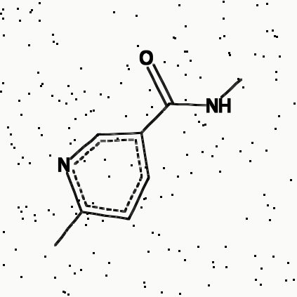 CNC(=O)c1ccc(C)nc1